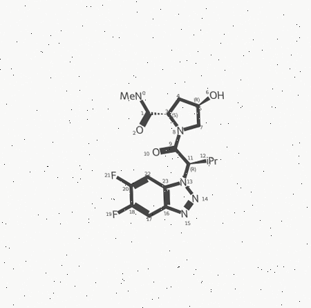 CNC(=O)[C@@H]1C[C@@H](O)CN1C(=O)[C@@H](C(C)C)n1nnc2cc(F)c(F)cc21